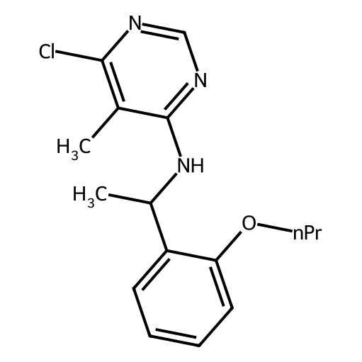 CCCOc1ccccc1C(C)Nc1ncnc(Cl)c1C